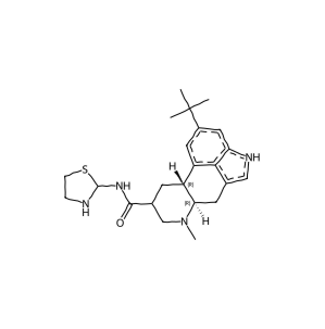 CN1CC(C(=O)NC2NCCS2)C[C@@H]2c3cc(C(C)(C)C)cc4[nH]cc(c34)C[C@H]21